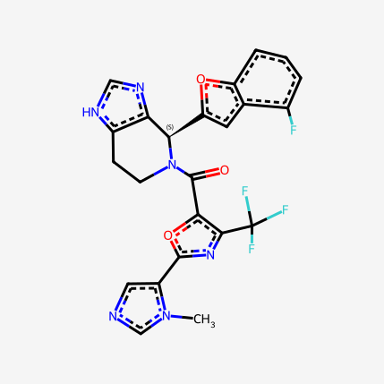 Cn1cncc1-c1nc(C(F)(F)F)c(C(=O)N2CCc3[nH]cnc3[C@H]2c2cc3c(F)cccc3o2)o1